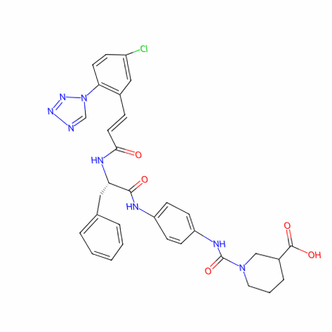 O=C(/C=C/c1cc(Cl)ccc1-n1cnnn1)N[C@@H](Cc1ccccc1)C(=O)Nc1ccc(NC(=O)N2CCCC(C(=O)O)C2)cc1